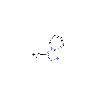 [CH2]c1cnc2ccccn12